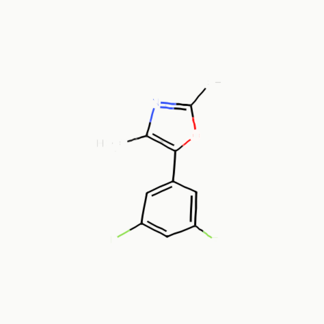 Cc1nc(C(=O)O)c(-c2cc(F)cc(F)c2)o1